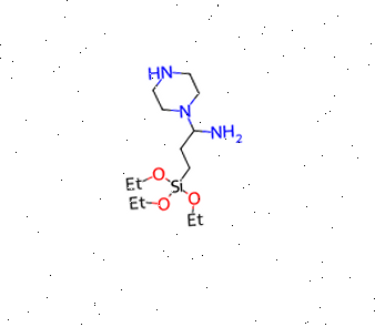 CCO[Si](CCC(N)N1CCNCC1)(OCC)OCC